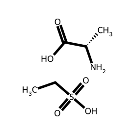 CCS(=O)(=O)O.C[C@H](N)C(=O)O